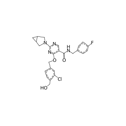 O=C(NCc1ccc(F)cc1)c1cnc(N2CC3CC3C2)nc1OCc1ccc(CO)c(Cl)c1